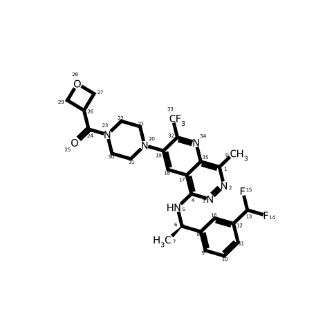 Cc1nnc(N[C@H](C)c2cccc(C(F)F)c2)c2cc(N3CCN(C(=O)C4COC4)CC3)c(C(F)(F)F)nc12